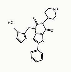 Cl.Cn1ccnc1Cn1c(=O)n(C2CCNCC2)c(=O)c2sc(-c3ccccc3)cc21